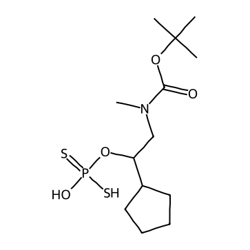 CN(CC(OP(O)(=S)S)C1CCCC1)C(=O)OC(C)(C)C